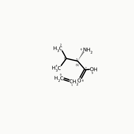 C=C.CC(C)[C@H](N)C(=O)O